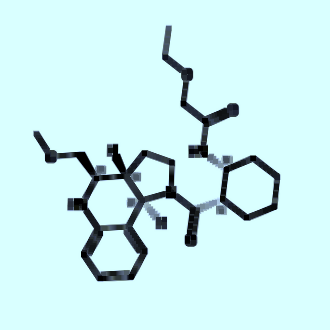 CCOCC(=O)N[C@@H]1CCCC[C@@H]1C(=O)N1CC[C@H]2[C@H](COC)Nc3ccccc3[C@@H]21